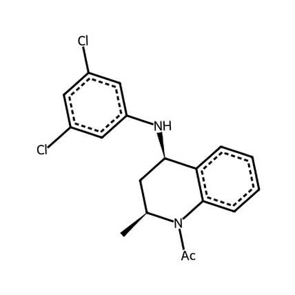 CC(=O)N1c2ccccc2[C@H](Nc2cc(Cl)cc(Cl)c2)C[C@@H]1C